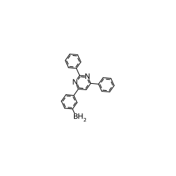 Bc1cccc(-c2cc(-c3ccccc3)nc(-c3ccccc3)n2)c1